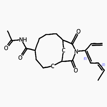 C=C/C(=C\C=C/C)N1C(=O)C2CCCC(C(=O)NC(C)=O)CCCC(C2)C1=O